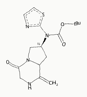 C=C1NCC(=O)N2C[C@@H](N(C(=O)OC(C)(C)C)c3nccs3)CC12